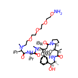 CC[C@H](C)[C@@H]([C@@H](CC(=O)N1CCC[C@H]1[C@H](OC)[C@@H](C)C(=O)N[C@H](C)[C@@H](O)c1ccccc1)OC)N(C)C(=O)[C@@H](NC(=O)C(C(C)C)N(C)CCOCCOCCOCCON)C(C)C